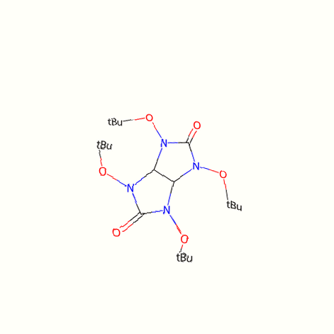 CC(C)(C)ON1C(=O)N(OC(C)(C)C)C2C1N(OC(C)(C)C)C(=O)N2OC(C)(C)C